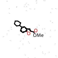 COC(=O)c1cc2cc(C3CCCCC3)ccc2o1